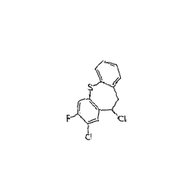 Fc1cc2c(cc1Cl)C(Cl)Cc1ccccc1S2